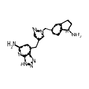 Nc1cc(Cc2cnn(Cc3ccc4c(c3)CC[C@H]4N)c2)c2nn[nH]c2n1